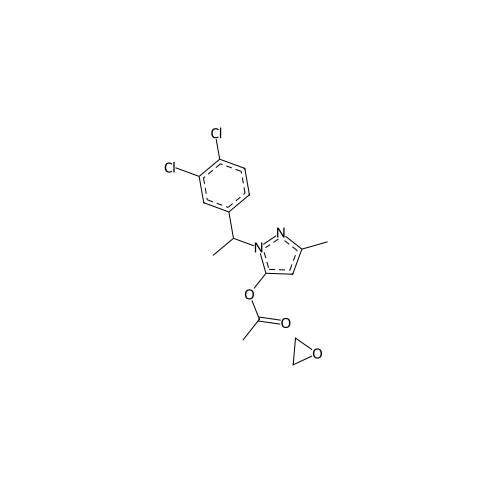 C1CO1.CC(=O)Oc1cc(C)nn1C(C)c1ccc(Cl)c(Cl)c1